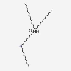 CCCCCCCCCC/C=C\CCCCCCCC(=O)NC(CCCCCCCCCCCC)CCCCCCCCCCCCC